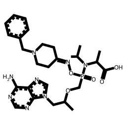 CC(Cn1cnc2c(N)ncnc21)OCP(=O)(ON=C1CCN(Cc2ccccc2)CC1)N(C(C)C)C(C)C(=O)O